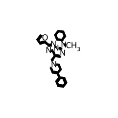 CN(c1ncc(CN2CC=C(c3ccccc3)CC2)c2nc(-c3ccco3)nn12)C1CCCCC1